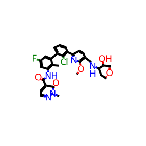 COc1nc(-c2cccc(-c3cc(F)cc(NC(=O)c4ccnn(C)c4=O)c3C)c2Cl)ccc1CNC1CCOCC1O